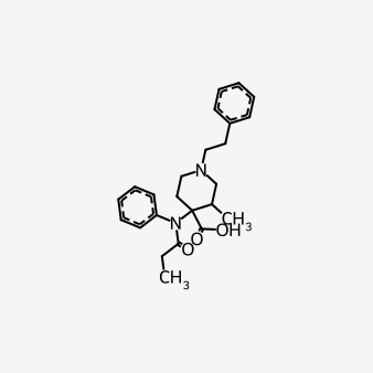 CCC(=O)N(c1ccccc1)C1(C(=O)O)CCN(CCc2ccccc2)CC1C